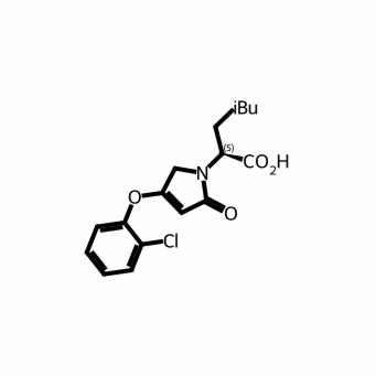 CCC(C)C[C@@H](C(=O)O)N1CC(Oc2ccccc2Cl)=CC1=O